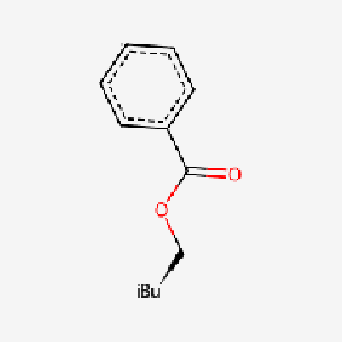 CC[C@H](C)COC(=O)c1cc[c]cc1